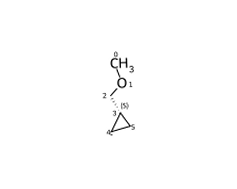 COC[C@H]1[CH]C1